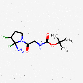 CC(C)(C)OC(=O)NCC(=O)N1CCC(F)C1(N)F